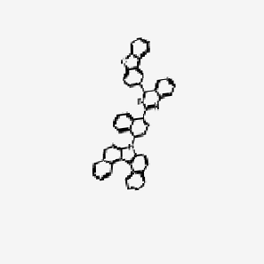 c1ccc2c(c1)ccc1c2c2c3ccccc3ccc2n1-c1ccc(-c2nc(-c3ccc4oc5ccccc5c4c3)c3ccccc3n2)c2ccccc12